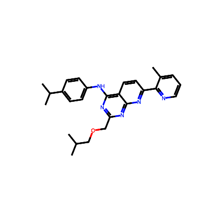 Cc1cccnc1-c1ccc2c(Nc3ccc(C(C)C)cc3)nc(COCC(C)C)nc2n1